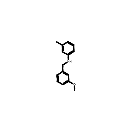 COc1cccc(CNc2cccc(I)c2)c1